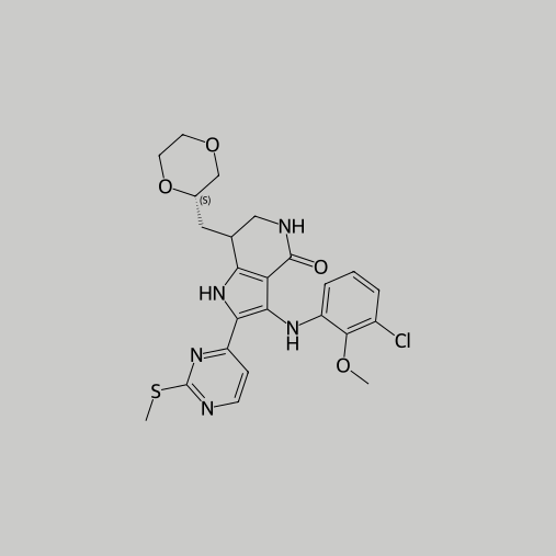 COc1c(Cl)cccc1Nc1c(-c2ccnc(SC)n2)[nH]c2c1C(=O)NCC2C[C@H]1COCCO1